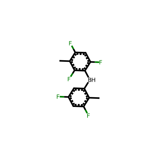 Cc1c(F)cc(F)cc1Bc1c(F)cc(F)c(C)c1F